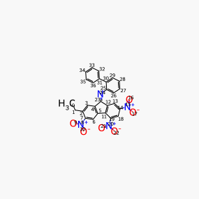 CCc1cc2c(cc1[N+](=O)[O-])-c1c(cc([N+](=O)[O-])cc1[N+](=O)[O-])C2=Nc1ccccc1-c1ccccc1